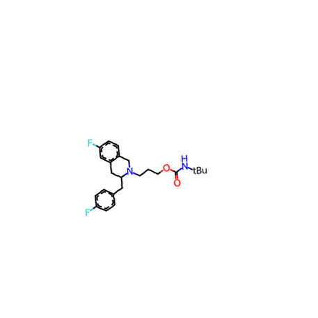 CC(C)(C)NC(=O)OCCCN1Cc2ccc(F)cc2CC1Cc1ccc(F)cc1